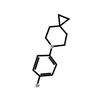 Brc1ccc(N2CCC3(CC2)CC3)cc1